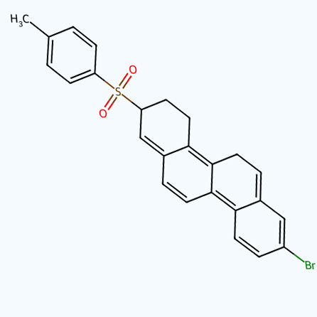 Cc1ccc(S(=O)(=O)C2C=c3ccc4c(c3CC2)CC=c2cc(Br)ccc2=4)cc1